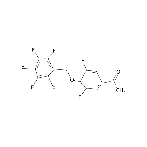 CC(=O)c1cc(F)c(OCc2c(F)c(F)c(F)c(F)c2F)c(F)c1